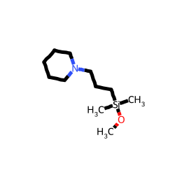 CO[Si](C)(C)CCCN1CCCCC1